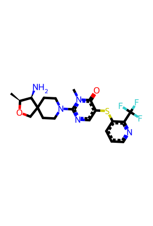 C[C@@H]1OCC2(CCN(c3ncc(Sc4cccnc4C(F)(F)F)c(=O)n3C)CC2)[C@@H]1N